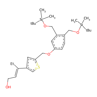 CCC(=CCO)c1csc(COc2ccc(CO[Si](C)(C)C(C)(C)C)c(CO[Si](C)(C)C(C)(C)C)c2)c1